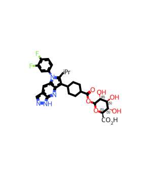 CC(C)c1c(C2CCC(C(=O)OC3O[C@H](C(=O)O)[C@@H](O)[C@H](O)[C@H]3O)CC2)c2nc3[nH]ncc3cc2n1-c1ccc(F)c(F)c1